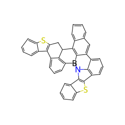 c1cc2c3c(c1)-c1c(sc4ccccc14)CC3c1c3c(cc4ccccc14)-c1cccc4c5sc6ccccc6c5n(c14)B23